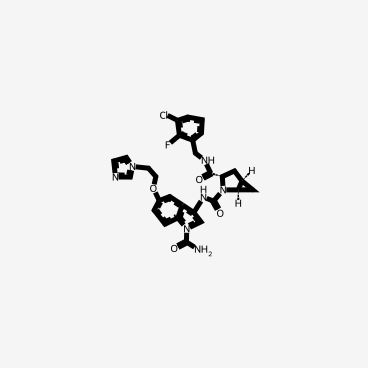 NC(=O)n1cc(NC(=O)N2[C@@H]3C[C@@H]3C[C@H]2C(=O)NCc2cccc(Cl)c2F)c2cc(OCCn3ccnc3)ccc21